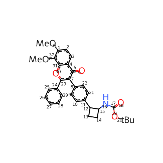 COc1ccc2c(=O)c(-c3ccc(C4CCC4NC(=O)OC(C)(C)C)cc3)c(-c3ccccc3)oc2c1OC